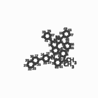 CC1(C)c2ccccc2-c2c(N(c3ccc(-c4ccc5ccccc5c4)cc3)c3ccc4c(c3)cc(-c3ccccc3)n3nc(-c5ccccc5)c(-c5ccccc5)c43)cccc21